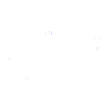 CCC1(CC)CNc2c1ccc(Br)c2OC